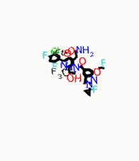 CCOc1c(CC(N)=O)cc([C@@](O)(CNC(=O)c2cc(OCCF)c3nn(C4(F)CC4)cc3c2)C(F)(F)F)nc1-c1cc(Cl)c(F)cc1F